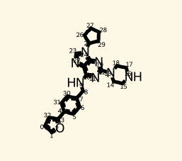 c1coc(-c2ccc(CNc3nc(N4CCNCC4)nc4c3ncn4C3CCCC3)cc2)c1